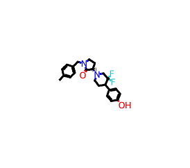 Cc1ccc(CN2CC[C@@H](N3CCC(c4ccc(O)cc4)C(F)(F)C3)C2=O)cc1